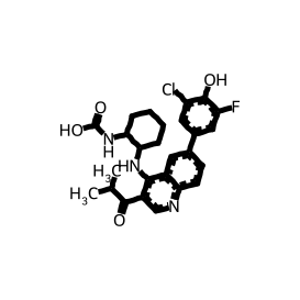 CC(C)C(=O)c1cnc2ccc(-c3cc(F)c(O)c(Cl)c3)cc2c1NC1CCCCC1NC(=O)O